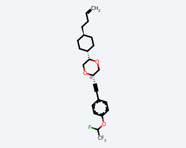 C=CCC[C@H]1CC[C@H](C2CO[C@@H](C#Cc3ccc(OC(F)C(F)(F)F)cc3)CO2)CC1